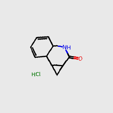 Cl.O=C1NC2C=CC=CC2C2CC12